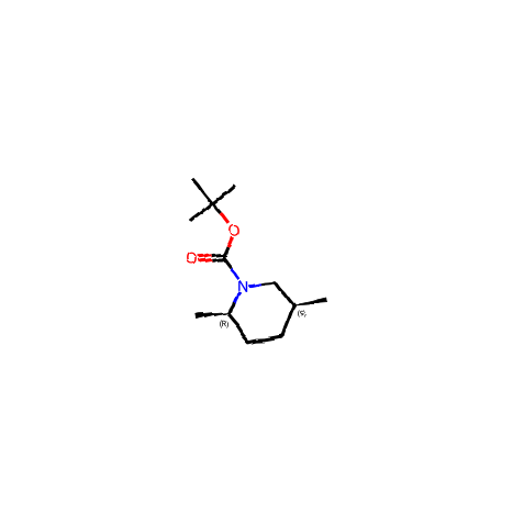 C[C@H]1CC[C@@H](C)N(C(=O)OC(C)(C)C)C1